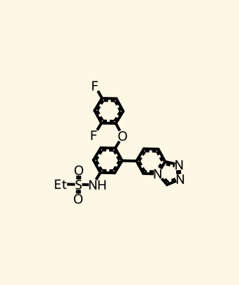 CCS(=O)(=O)Nc1ccc(Oc2ccc(F)cc2F)c(-c2ccc3nncn3c2)c1